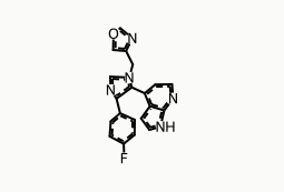 Fc1ccc(-c2ncn(Cc3cocn3)c2-c2ccnc3[nH]ccc23)cc1